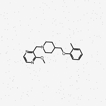 COc1nccnc1CN1CCC(COc2ccccc2C)CC1